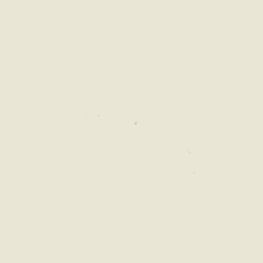 CC(C)(C)OC(=O)N1CCC(NCc2ccc(-c3ccnc(Cl)n3)s2)CC1